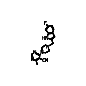 Cc1ncnc(N2CCN(Cc3cc4ccc(F)cc4[nH]3)CC2)c1C#N